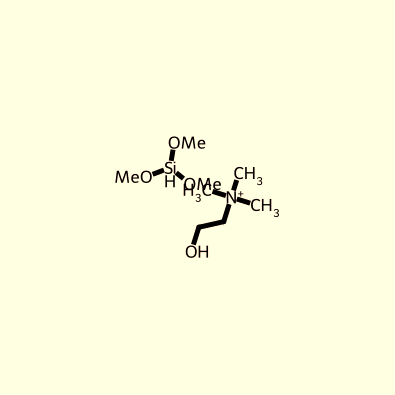 CO[SiH](OC)OC.C[N+](C)(C)CCO